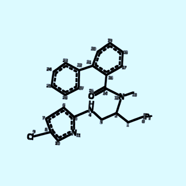 CC(C)CC(CNc1ccc(Cl)cn1)N(C)C(=O)c1ccccc1-c1ccccc1